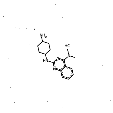 CN(C)c1nc(NC2CCC(N)CC2)nc2ccccc12.Cl